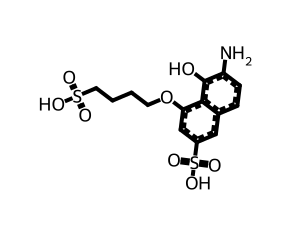 Nc1ccc2cc(S(=O)(=O)O)cc(OCCCCS(=O)(=O)O)c2c1O